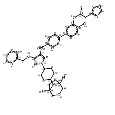 C[C@@H](Cn1cncn1)Oc1cc(-c2cnc(Nc3cn(C4CCC(N5[C@@H]6CC[C@H]5COC6)CC4)nc3OCc3ncccn3)nc2)ccc1Cl